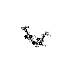 N=C(N)NCCCCC(=O)Nc1cc(C(F)(F)F)cc(NC(=O)Nc2ccc(NC(=O)Nc3cc(C(F)(F)F)cc(NC(=O)CCCCNC(=N)N)c3OC3CCCC3)cc2)c1OC1CCCC1